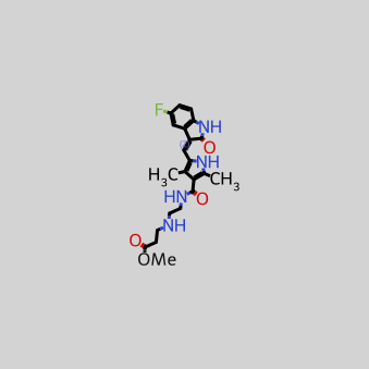 COC(=O)CCNCCNC(=O)c1c(C)[nH]c(/C=C2\C(=O)Nc3ccc(F)cc32)c1C